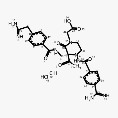 CC(=O)[C@@]1(CNC(=O)c2ccc(CC(=N)N)cc2)C(=O)N(CC(=O)O)CCN1NC(=O)c1ccc(C(=N)N)cc1.Cl.Cl